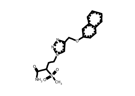 CS(=O)(=O)C(CCn1cc(COc2ccc3ccccc3c2)nn1)C(N)=O